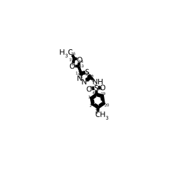 Cc1ccc(S(=O)(=O)Nc2nnc(C3OC(C)O3)s2)cc1